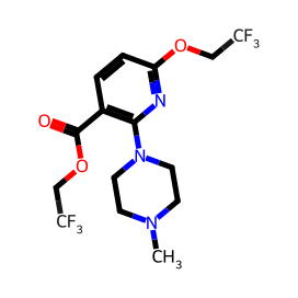 CN1CCN(c2nc(OCC(F)(F)F)ccc2C(=O)OCC(F)(F)F)CC1